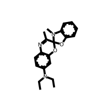 CCN(CC)c1ccc2c(c1)OC1(Oc3ccccc3N1C)C(C)=N2